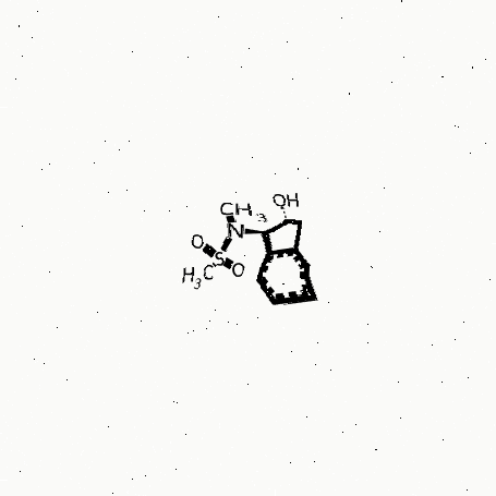 CN([C@@H]1c2ccccc2C[C@H]1O)S(C)(=O)=O